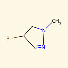 CN1[CH]C(Br)C=N1